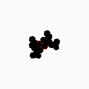 c1cc(-c2cccc(-c3ccccc3-c3ccccc3-c3ccccc3N(c3ccc4c(c3)-c3ccccc3C43CCCC3)c3cccc4c3oc3ccccc34)c2)cc(-c2ccccc2-c2ccccc2-c2ccccc2N(c2ccc3c(c2)-c2ccccc2C32CCCC2)c2ccc3c(c2)oc2ccccc23)c1